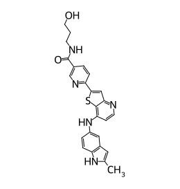 Cc1cc2cc(Nc3ccnc4cc(-c5ccc(C(=O)NCCCO)cn5)sc34)ccc2[nH]1